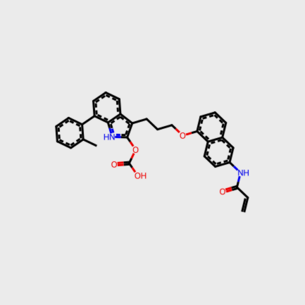 C=CC(=O)Nc1ccc2c(OCCCc3c(OC(=O)O)[nH]c4c(-c5ccccc5C)cccc34)cccc2c1